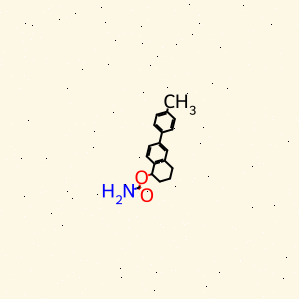 Cc1ccc(-c2ccc3c(c2)CCCC3OC(N)=O)cc1